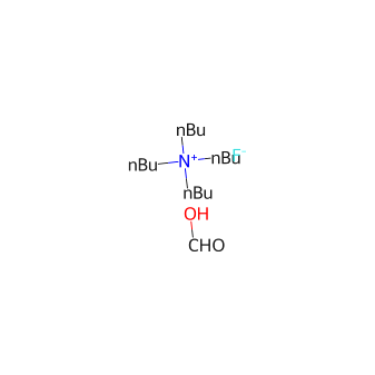 CCCC[N+](CCCC)(CCCC)CCCC.O=CO.[F-]